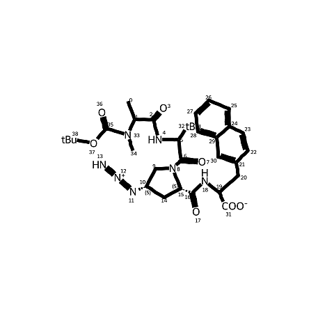 CC(C(=O)NC(C(=O)N1C[C@@H](N=[N+]=N)C[C@H]1C(=O)NC(Cc1ccc2ccccc2c1)C(=O)[O-])C(C)(C)C)N(C)C(=O)OC(C)(C)C